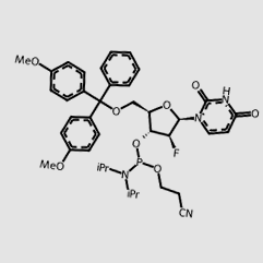 COc1ccc(C(OC[C@H]2O[C@@H](n3ccc(=O)[nH]c3=O)[C@@H](F)[C@@H]2OP(OCCC#N)N(C(C)C)C(C)C)(c2ccccc2)c2ccc(OC)cc2)cc1